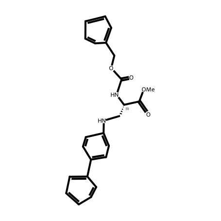 COC(=O)[C@H](CNc1ccc(-c2ccccc2)cc1)NC(=O)OCc1ccccc1